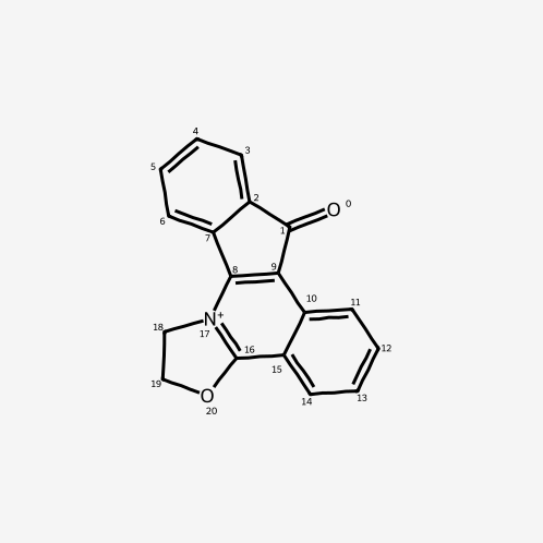 O=C1c2ccccc2-c2c1c1ccccc1c1[n+]2CCO1